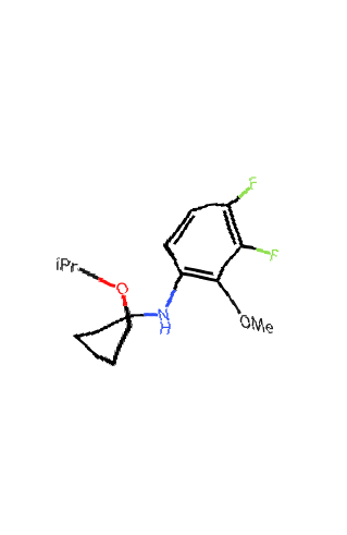 COc1c(NC2(OC(C)C)CC2)ccc(F)c1F